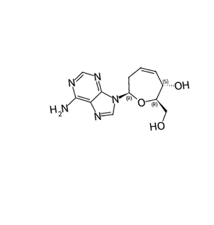 Nc1ncnc2c1ncn2[C@H]1CC=C[C@H](O)[C@@H](CO)O1